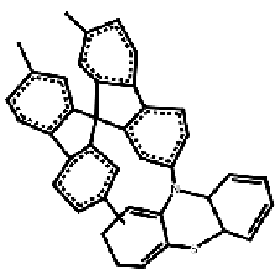 Cc1ccc2c(c1)C1(c3cc(C)ccc3-2)c2cc(C)ccc2-c2ccc(N3C4=CCCC=C4SC4C=CC=CC43)cc21